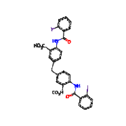 O=C(Nc1ccc(Cc2ccc(NC(=O)c3ccccc3I)c(C(=O)O)c2)cc1C(=O)O)c1ccccc1I